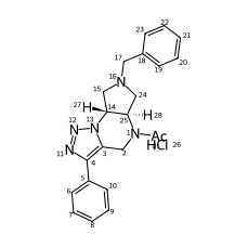 CC(=O)N1Cc2c(-c3ccccc3)nnn2[C@@H]2CN(Cc3ccccc3)C[C@H]21.Cl